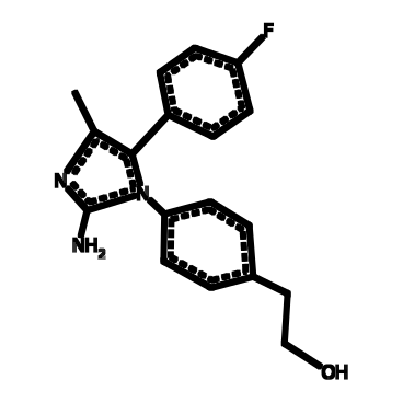 Cc1nc(N)n(-c2ccc(CCO)cc2)c1-c1ccc(F)cc1